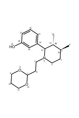 C[C@H]1CCN(CCC2OCCCO2)C(c2cccc(O)c2)[C@@H]1C